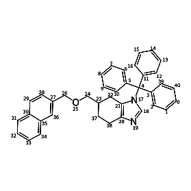 c1ccc(C(c2ccccc2)(c2ccccc2)n2cnc3c2CC(COCc2ccc4ccccc4c2)CC3)cc1